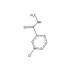 CNC(=O)c1ccc[n+]([O-])c1